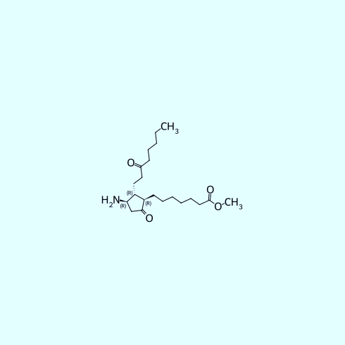 CCCCCC(=O)CC[C@H]1[C@H](N)CC(=O)[C@@H]1CCCCCCC(=O)OC